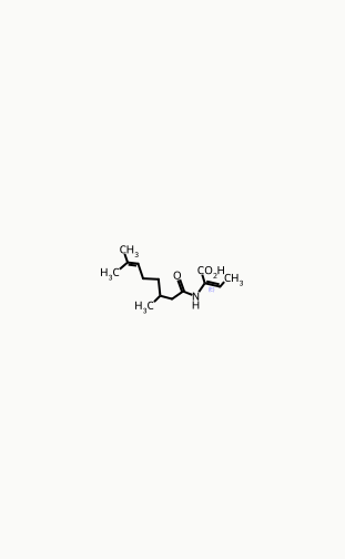 C/C=C(/NC(=O)CC(C)CCC=C(C)C)C(=O)O